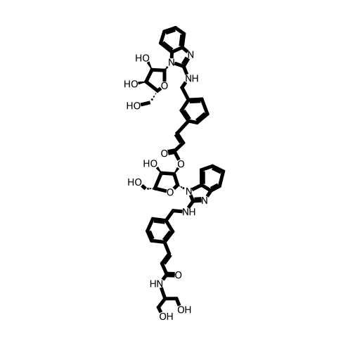 O=C(C=Cc1cccc(CNc2nc3ccccc3n2[C@@H]2O[C@H](CO)[C@@H](O)[C@H]2OC(=O)C=Cc2cccc(CNc3nc4ccccc4n3[C@@H]3O[C@H](CO)[C@@H](O)[C@H]3O)c2)c1)NC(CO)CO